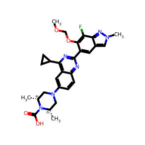 COCOc1c(-c2nc(C3CC3)c3cc(N4C[C@@H](C)N(C(=O)O)[C@@H](C)C4)ccc3n2)cc2cn(C)nc2c1F